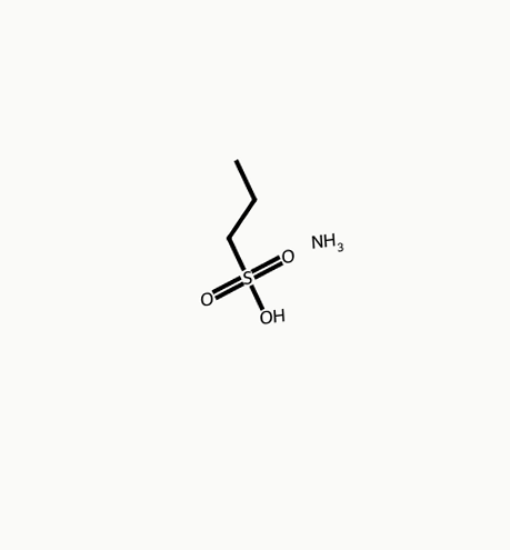 CCCS(=O)(=O)O.N